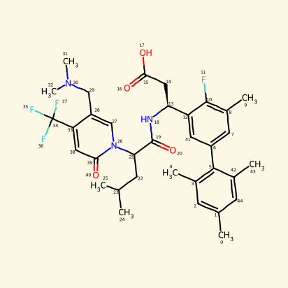 Cc1cc(C)c(-c2cc(C)c(F)c([C@H](CC(=O)O)NC(=O)C(CC(C)C)n3cc(CN(C)C)c(C(F)(F)F)cc3=O)c2)c(C)c1